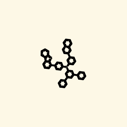 c1ccc(-c2cc(-c3ccccc3)cc(N(c3ccc(-c4cccc5c4sc4ccccc45)cc3)c3cccc(-c4ccc5ccccc5c4)c3)c2)cc1